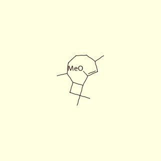 CO/C1=C\C(C)CCCC(C)C2CC(C)(C)C12